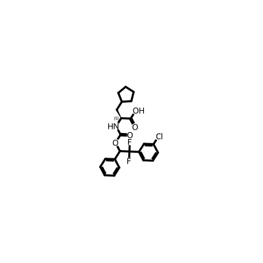 O=C(N[C@@H](CC1CCCC1)C(=O)O)OC(c1ccccc1)C(F)(F)c1cccc(Cl)c1